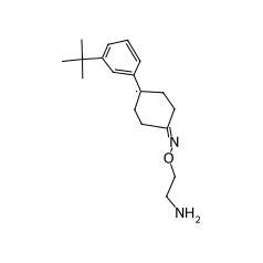 CC(C)(C)c1cccc([C]2CCC(=NOCCN)CC2)c1